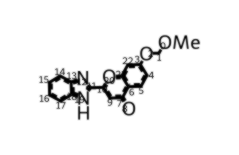 COCOc1ccc2c(=O)cc(-c3nc4ccccc4[nH]3)oc2c1